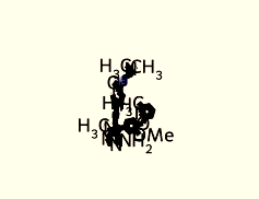 COc1cc(-c2c(C#CC3[C@H]4CN(C(=O)/C=C/CN(C)C)C[C@@H]34)n(C)c3ncnc(N)c23)ccc1Oc1cccc(C)n1